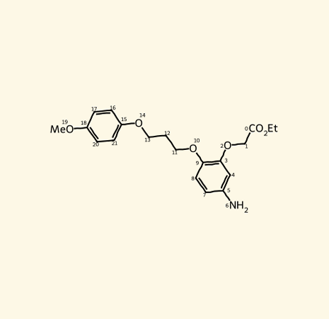 CCOC(=O)COc1cc(N)ccc1OCCCOc1ccc(OC)cc1